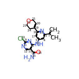 C=C(C)c1cc(Nc2nc(Cl)ncc2C(N)=O)cc(C2=CCOCC2)n1